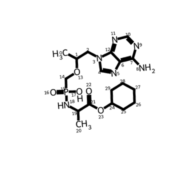 CC(Cn1cnc2c(N)ncnc21)OCP(=O)(O)NC(C)C(=O)OC1CCCCC1